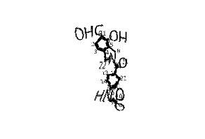 O=Cc1ccc2c(c1O)CN(C(=O)c1ccc3[nH]c(=O)oc3c1)C2